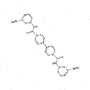 N#Cc1cccc(NC(=O)c2ccc(-c3ccc(C(=O)Nc4cccc(C#N)c4)cc3)cc2)c1